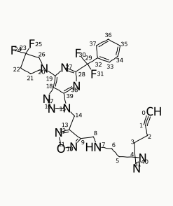 C#CCCC1(CCNCc2nonc2Cn2nnc3c(N4CCC(F)(F)C4)nc(C(F)(F)c4ccccc4)nc32)N=N1